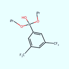 CC(C)O[Si](O)(OC(C)C)c1cc(C(F)(F)F)cc(C(F)(F)F)c1